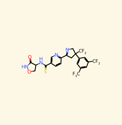 O=C1NOCC1NC(=S)c1ccc(C2=NCC(c3cc(C(F)(F)F)cc(C(F)(F)F)c3)(C(F)(F)F)C2)nc1